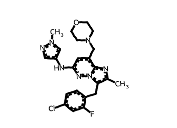 Cc1nc2c(CN3CCOCC3)cc(Nc3cnn(C)c3)nn2c1Cc1ccc(Cl)cc1F